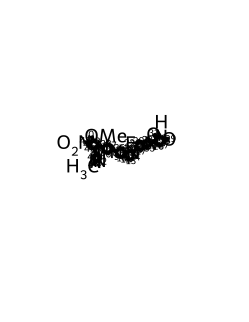 COc1cc(N2CCC(N3CCC4(CCCN(c5cc6c(cc5F)CN(C5CCC(=O)NC5=O)C6)C4)CC3)CC2)c(-c2cnn(C)c2)cc1[N+](=O)[O-]